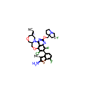 N#C/C=C1\COCC2COc3c(Cl)c(-c4ccc(F)c5sc(N)c(C#N)c45)c(F)c4nc(OC[C@@]56CCCN5C[C@H](F)C6)nc(c34)N2C1